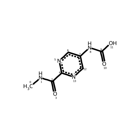 CNC(=O)c1ncc(NC(=O)O)cn1